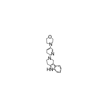 C1=NC(N2CCc3[nH]c4ccccc4c3C2)CC=C1N1CCOCC1